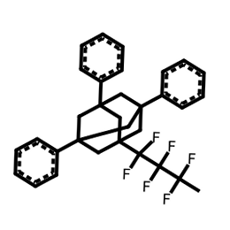 CC(F)(F)C(F)(F)C(F)(F)C12CC3(c4ccccc4)CC(c4ccccc4)(CC(c4ccccc4)(C3)C1)C2